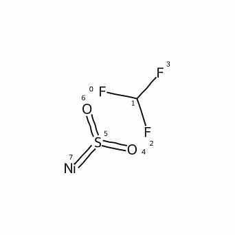 FC(F)F.O=[S](=O)=[Ni]